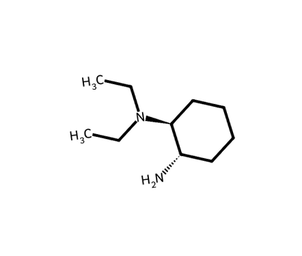 CCN(CC)[C@H]1CCCC[C@@H]1N